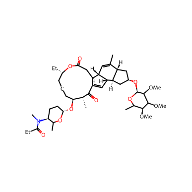 CCC(=O)N(C)[C@H]1CC[C@H](O[C@H]2CCC[C@H](CC)OC(=O)C[C@@H]3C(=C[C@@H]4[C@H]3C=C(C)[C@@H]3C[C@@H](O[C@@H]5OC(C)[C@H](OC)C(OC)C5OC)C[C@@H]43)C(=O)[C@@H]2C)OC1C